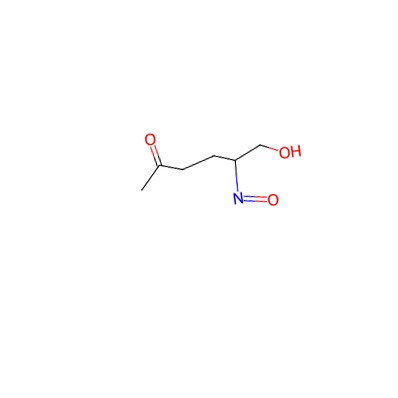 CC(=O)CCC(CO)N=O